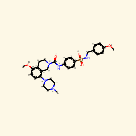 COc1ccc(CNS(=O)(=O)c2ccc(NC(=O)N3CCc4c(OC)ccc(N5CCN(C)CC5)c4C3)cc2)cc1